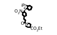 CCOC(=O)C1CCN(C(=O)/C=C/c2ccc(Sc3ccccc3C(C)C)c([N+](=O)[O-])c2)CC1